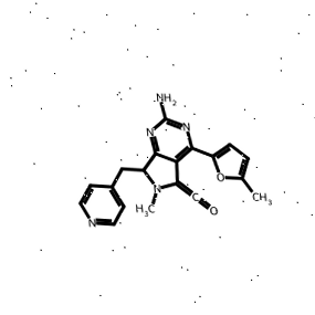 Cc1ccc(-c2nc(N)nc3c2C(=C=O)N(C)C3Cc2ccncc2)o1